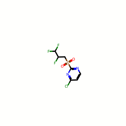 O=S(=O)(CC(F)C(F)F)c1nccc(Cl)n1